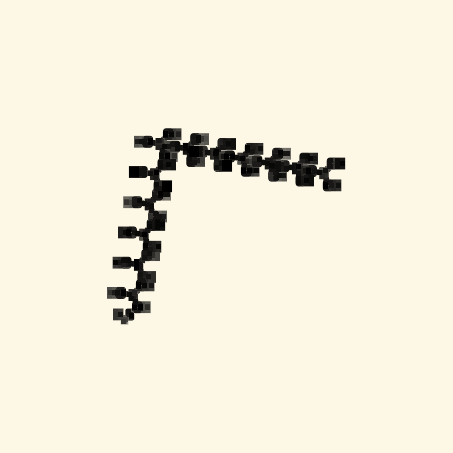 OB(O)O.OB(O)O.OB(O)O.OB(O)O.OB(O)O.OB(O)O.OB(O)O.OB(O)O.OB(O)O.OB(O)O.OB(O)O.OB(O)O.S